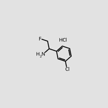 Cl.NC(CF)c1cccc(Cl)c1